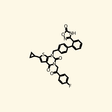 O=C(Cn1c(=O)c2cc(C3CC3)sc2n(Cc2ccc(-c3ccccc3-c3noc(=O)[nH]3)cc2)c1=O)c1ccc(F)cc1